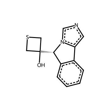 OC1([C@H]2c3ccccc3-c3cncn32)CSC1